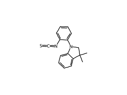 CC1(C)CN(c2ccccc2N=C=S)c2ccccc21